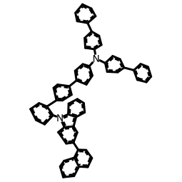 c1ccc(-c2ccc(N(c3ccc(-c4ccccc4)cc3)c3ccc(-c4ccc(-c5ccccc5-n5c6ccccc6c6cc(-c7cccc8ccccc78)ccc65)cc4)cc3)cc2)cc1